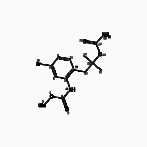 CC(C)(C)OC(=O)Nc1cc(Br)ccc1CC(C)(C)OC(N)=O